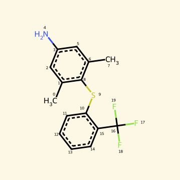 Cc1cc(N)cc(C)c1Sc1ccccc1C(F)(F)F